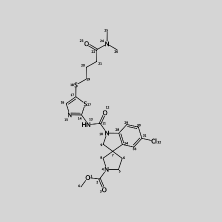 COC(=O)N1CCC2(C1)CN(C(=O)Nc1ncc(SCCCC(=O)N(C)C)s1)c1ccc(Cl)cc12